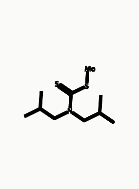 CC(C)CN(CC(C)C)C(=S)[S][Mo]